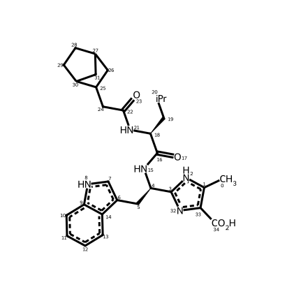 Cc1[nH]c([C@@H](Cc2c[nH]c3ccccc23)NC(=O)[C@H](CC(C)C)NC(=O)CC2CC3CCC2C3)nc1C(=O)O